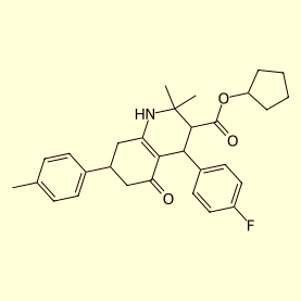 Cc1ccc(C2CC(=O)C3=C(C2)NC(C)(C)C(C(=O)OC2CCCC2)C3c2ccc(F)cc2)cc1